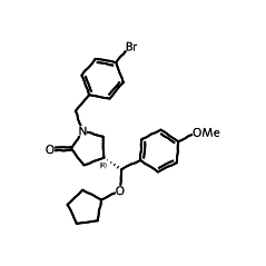 COc1ccc(C(OC2CCCC2)[C@@H]2CC(=O)N(Cc3ccc(Br)cc3)C2)cc1